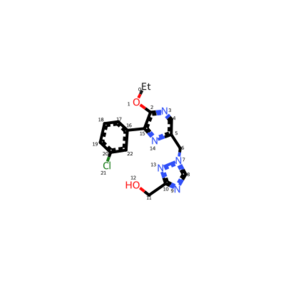 CCOc1ncc(Cn2cnc(CO)n2)nc1-c1cccc(Cl)c1